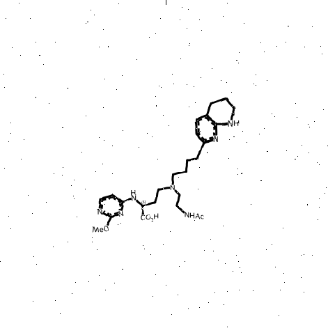 COc1nccc(N[C@@H](CCN(CCCCc2ccc3c(n2)NCCC3)CCNC(C)=O)C(=O)O)n1